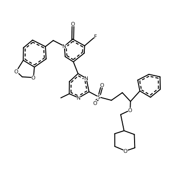 Cc1cc(-c2cc(F)c(=O)n(Cc3ccc4c(c3)OCO4)c2)nc(S(=O)(=O)CCC(OCC2CCOCC2)c2ccccc2)n1